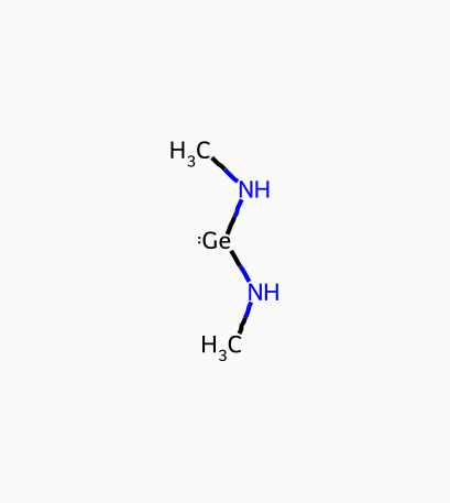 C[NH][Ge][NH]C